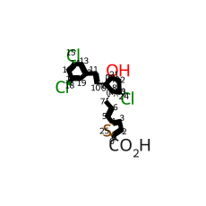 O=C(O)c1ccc(C=CC[C@@H]2[C@@H](C=Cc3cc(Cl)cc(Cl)c3)[C@@H](O)C[C@H]2Cl)s1